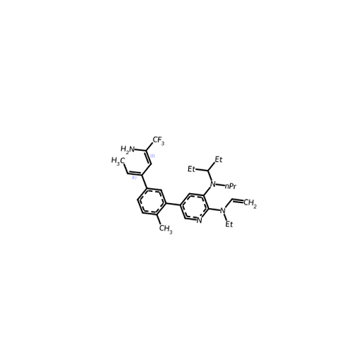 C=CN(CC)c1ncc(-c2cc(C(/C=C(\N)C(F)(F)F)=C/C)ccc2C)cc1N(CCC)C(CC)CC